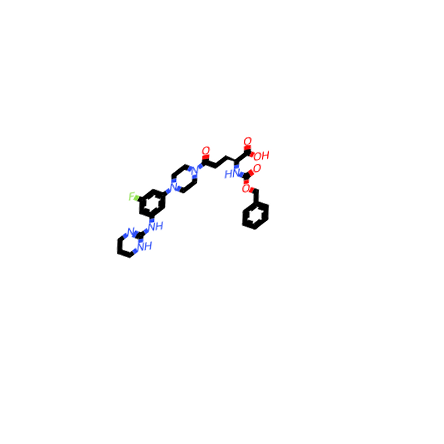 O=C(N[C@@H](CCC(=O)N1CCN(c2cc(F)cc(NC3=NCCCN3)c2)CC1)C(=O)O)OCc1ccccc1